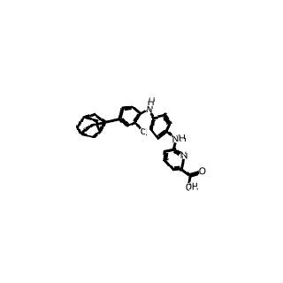 O=C(O)c1cccc(Nc2ccc(Nc3ccc(C45CC6CC(CC4C6)C5)cc3Cl)cc2)n1